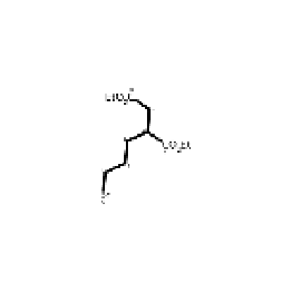 CCOC(=O)CC(CCCBr)C(=O)OCC